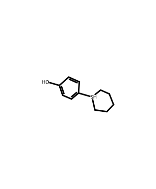 Oc1ccc([SH]2CCCCC2)cc1